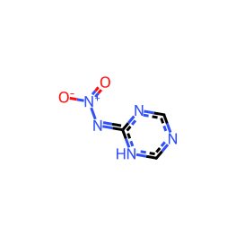 O=[N+]([O-])/N=c1\ncnc[nH]1